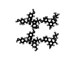 CCN1CCc2c(S(=O)(=O)N(Cc3ccc(OC)cc3)Cc3ccc(OC)cc3)nn(C(C)(C)COc3cc(-c4cc(F)cc(C(C)C)c4CC(=O)OC(C)(C)C)ccn3)c2C1.COc1ccc(CN(Cc2ccc(OC)cc2)S(=O)(=O)c2nn(C(C)(C)COc3cc(-c4cc(F)cc(C(C)C)c4CC(=O)OC(C)(C)C)ccn3)c3c2CCNC3)cc1